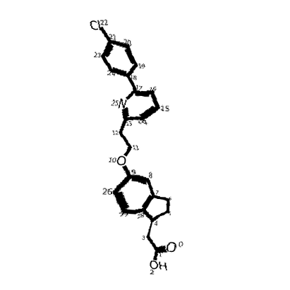 O=C(O)C[C@@H]1CCc2cc(OCCc3cccc(-c4ccc(Cl)cc4)n3)ccc21